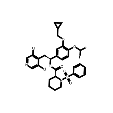 O=C(O[C@@H](Cc1c(Cl)cncc1Cl)c1ccc(OC(F)F)c(OCC2CC2)c1)[C@@H]1CCCCN1S(=O)(=O)c1ccccc1